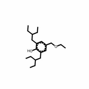 CCOCc1cc(CC(CC)CC)c(O)c(CC(CC)CC)c1